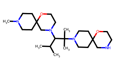 CC(C)C(N1CCOC2(CCN(C)CC2)C1)C(C)(C)N1CCC2(CC1)CNCCO2